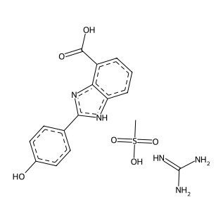 CS(=O)(=O)O.N=C(N)N.O=C(O)c1cccc2[nH]c(-c3ccc(O)cc3)nc12